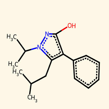 CC(C)Cc1c(-c2ccccc2)c(O)nn1C(C)C